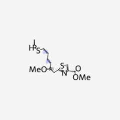 COC(=O)c1csc(C[C@H](/C=C/C=C\SP(I)I)OC)n1